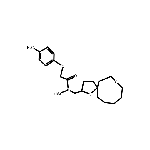 CCCCN(CC1CCC2(CCCCCCCC2)S1)C(=O)COc1ccc(C)cc1